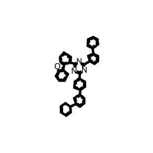 C1=CCC(c2cccc(-c3ccc(-c4nc(-c5cccc(-c6ccccc6)c5)nc(-c5cccc6oc7ccccc7c56)n4)cc3)c2)C=C1